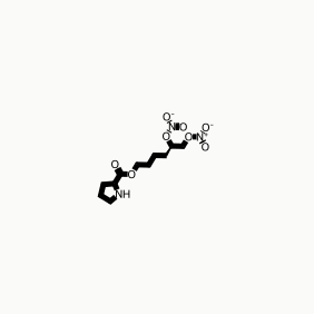 O=C(OCCCC[C@H](CO[N+](=O)[O-])O[N+](=O)[O-])C1CCCN1